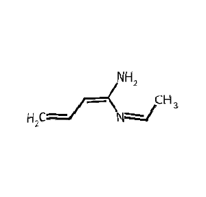 C=C/C=C(N)\N=C/C